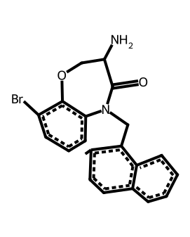 Cc1ccc2ccccc2c1CN1C(=O)C(N)COc2c(Br)cccc21